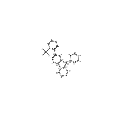 CC(C)(C)c1ccccc1-c1ccc2c3ccccc3n(-c3ccccc3)c2c1